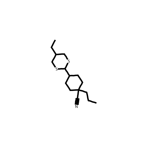 CCCC1(C#N)CCC(C2SCC(CC)CS2)CC1